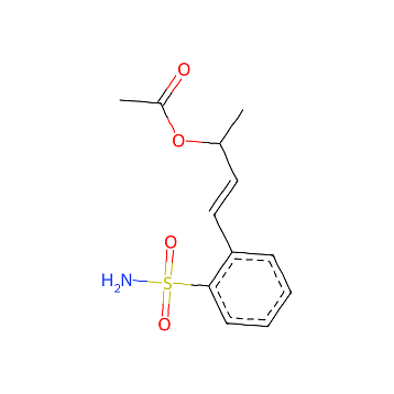 CC(=O)OC(C)C=Cc1ccccc1S(N)(=O)=O